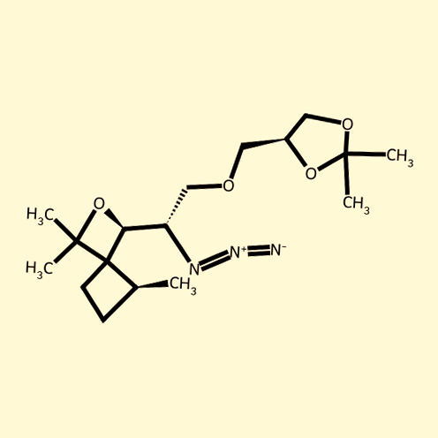 C[C@H]1CCC12[C@H]([C@H](COC[C@H]1COC(C)(C)O1)N=[N+]=[N-])OC2(C)C